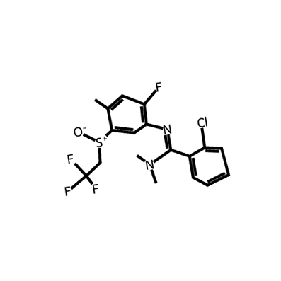 Cc1cc(F)c(/N=C(/c2ccccc2Cl)N(C)C)cc1[S+]([O-])CC(F)(F)F